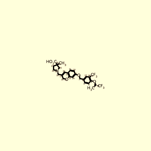 C[C@H](Oc1ccc(COc2ccc3c(c2)OCC(CN2CCC(C)(C(=O)O)C2)=C3)cc1C(F)(F)F)C(F)(F)F